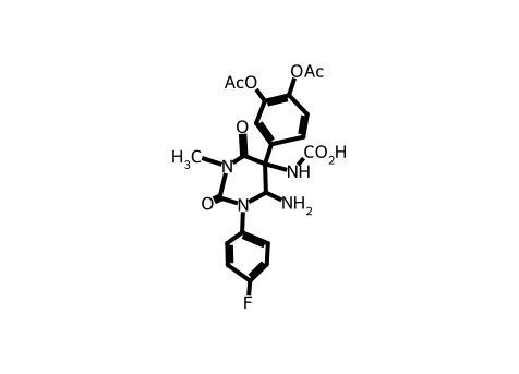 CC(=O)Oc1ccc(C2(NC(=O)O)C(=O)N(C)C(=O)N(c3ccc(F)cc3)C2N)cc1OC(C)=O